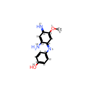 CCOC1=CC(=Nc2ccc(O)cc2)C(N)=CC1=N